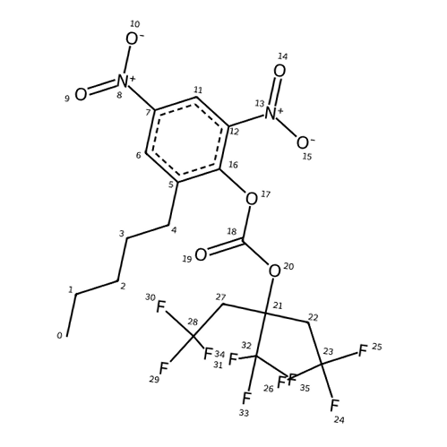 CCCCCc1cc([N+](=O)[O-])cc([N+](=O)[O-])c1OC(=O)OC(CC(F)(F)F)(CC(F)(F)F)C(F)(F)F